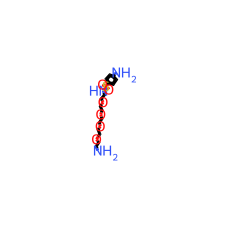 NCCOCCOCCOCCOCCNS(=O)(=O)c1ccc(N)cc1